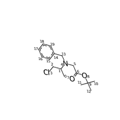 CC(CCl)N(CC(=O)OC(C)(C)C)Cc1ccccc1